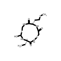 CC[C@@H]1NC(O)CCNC(=O)[C@H](CCSC)NC(=O)CCNC1=O